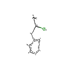 [CH2]C(=O)C(Cl)Cc1ccccc1